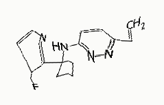 C=Cc1ccc(NC2(C3=NC=CCC3F)CCC2)nn1